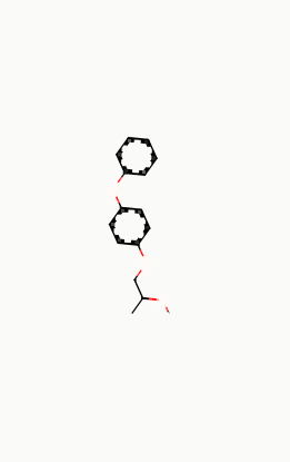 CCOC(C)COc1ccc(Oc2ccccc2)cc1